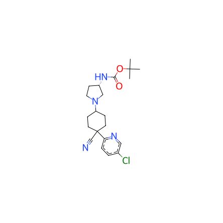 CC(C)(C)OC(=O)N[C@H]1CCN(C2CCC(C#N)(c3ccc(Cl)cn3)CC2)C1